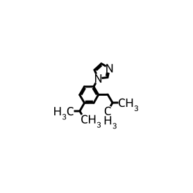 CC(C)Cc1cc(C(C)C)ccc1-n1ccnc1